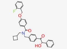 O=C(c1ccc(CN(CC2CCC2)C(=O)c2ccc(OCc3ccccc3F)cc2)cc1)C(O)c1ccccc1